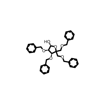 O[C@H]1OC(COCc2ccccc2)(COCc2ccccc2)[C@@H](OCc2ccccc2)[C@H]1OCc1ccccc1